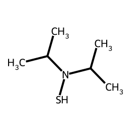 CC(C)N(S)C(C)C